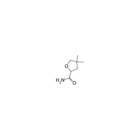 CC1(C)COC(C(N)=O)C1